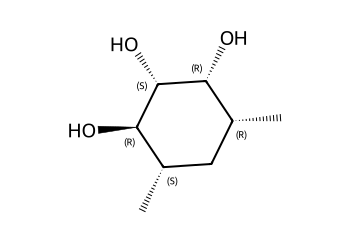 C[C@@H]1C[C@H](C)[C@@H](O)[C@H](O)[C@@H]1O